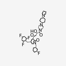 O=C(C=C(O)c1cc(Cc2c(F)cc(F)cc2F)cn(Cc2cccc(F)c2)c1=O)C(=O)N1CCN(c2ccc(-n3cccc3)cc2)CC1